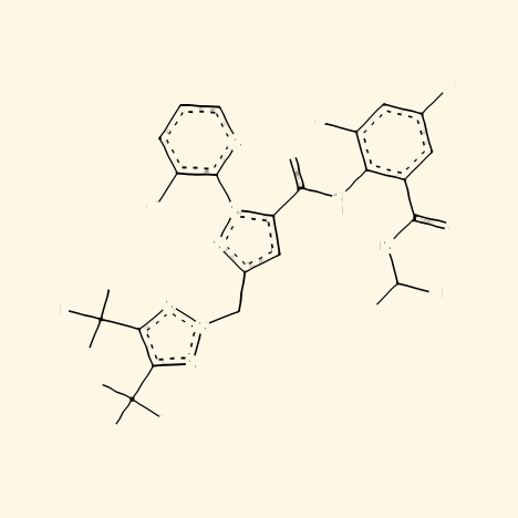 Cc1cc(Cl)cc(C(=O)NC(C)C)c1NC(=O)c1cc(Cn2nc(C(F)(F)F)c(C(F)(F)F)n2)nn1-c1ncccc1Cl